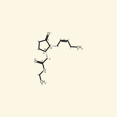 CC/C=C\C[C@H]1C(=O)CC[C@H]1CC(=O)OCC